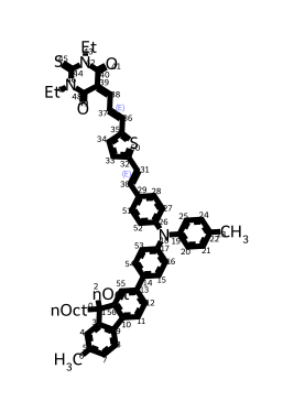 CCCCCCCCC1(CCCCCCCC)c2cc(C)ccc2-c2ccc(-c3ccc(N(c4ccc(C)cc4)c4ccc(/C=C/c5ccc(/C=C/C=C6C(=O)N(CC)C(=S)N(CC)C6=O)s5)cc4)cc3)cc21